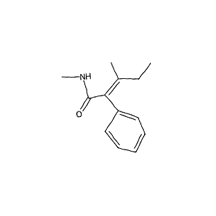 CCC(C)=C(C(=O)NC)c1ccccc1